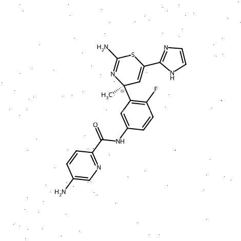 C[C@@]1(c2cc(NC(=O)c3ccc(N)cn3)ccc2F)C=C(c2ncc[nH]2)SC(N)=N1